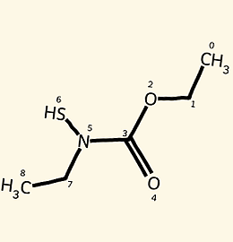 CCOC(=O)N(S)CC